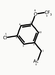 CC(=O)Cc1cc(Cl)cc(OC(F)(F)F)c1